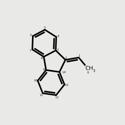 CC=C1c2ccccc2-c2ccccc21